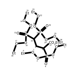 CCOOP(=O)(OOCC)C(CC(P(=O)(OOCC)OOCC)P(=O)(OOCC)OOCC)C(=O)OCC